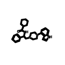 O=C(NC(CN1CCN(c2cccc3[nH]ccc23)CC1)c1ccccc1)C1CCCCC1